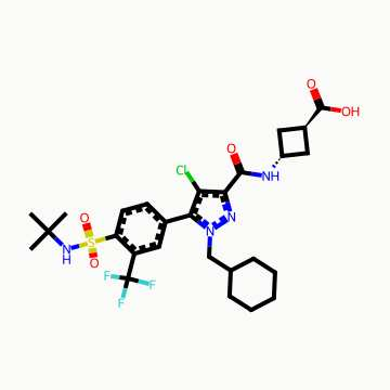 CC(C)(C)NS(=O)(=O)c1ccc(-c2c(Cl)c(C(=O)N[C@H]3C[C@H](C(=O)O)C3)nn2CC2CCCCC2)cc1C(F)(F)F